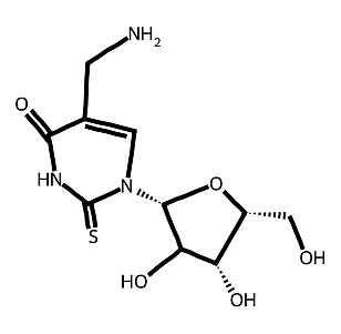 NCc1cn([C@@H]2O[C@H](CO)[C@H](O)C2O)c(=S)[nH]c1=O